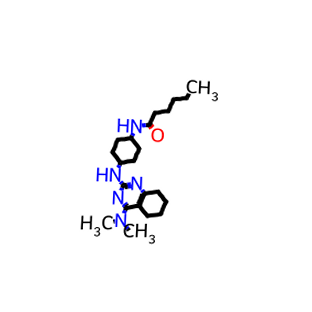 CCCCCC(=O)NC1CCC(Nc2nc3c(c(N(C)C)n2)CCCC3)CC1